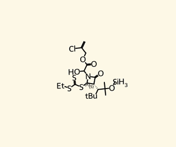 C=C(Cl)COC(=O)C(O)N1C(=O)[C@H](C(C(C)(C)C)C(C)(C)O[SiH3])[C@H]1SC(=S)SCC